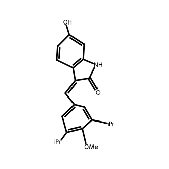 COc1c(C(C)C)cc(C=C2C(=O)Nc3cc(O)ccc32)cc1C(C)C